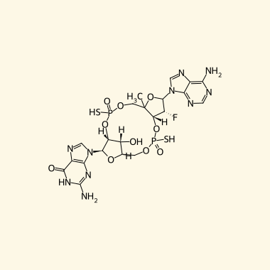 CC12COP(=O)(S)O[C@@H]3[C@H](O)[C@@H](COP(=O)(S)O[C@H]1[C@@H](F)C(n1cnc4c(N)ncnc41)O2)O[C@H]3n1cnc2c(=O)[nH]c(N)nc21